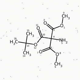 COC(=O)C(N)(C(=O)OC)C(=O)OC(C)(C)C